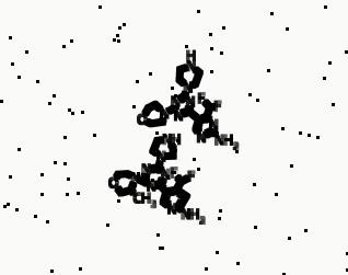 CC1COCCN1c1nc(-c2cnc(N)cc2C(F)F)nc(N2CCNCC2)n1.Nc1ncc(-c2nc(N3CCNCC3)nc(N3CCOCC3)n2)c(C(F)F)n1